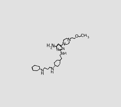 CCOCCN1CCN(c2cc(N)nc(NCCC3CCC(NCCCNC4CCCCC4)CC3)n2)CC1